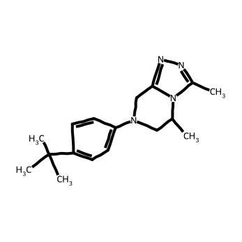 Cc1nnc2n1C(C)CN(c1ccc(C(C)(C)C)cc1)C2